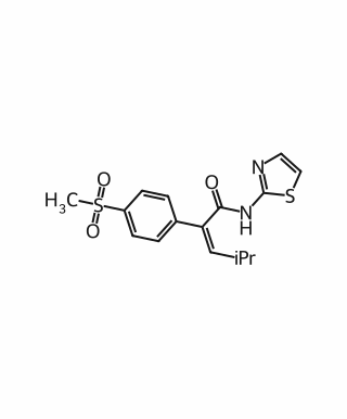 CC(C)C=C(C(=O)Nc1nccs1)c1ccc(S(C)(=O)=O)cc1